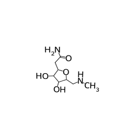 CNCC1OC(CC(N)=O)C(O)C1O